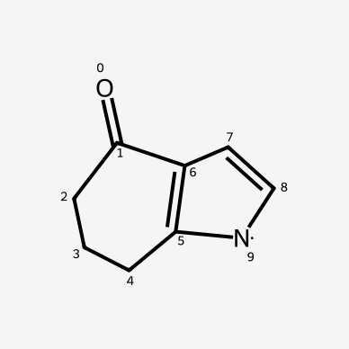 O=C1CCCC2=C1C=C[N]2